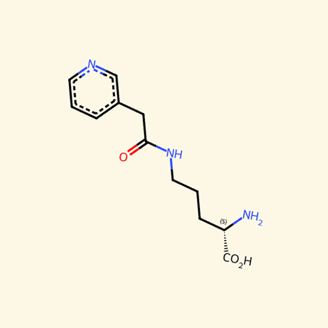 N[C@@H](CCCNC(=O)Cc1cccnc1)C(=O)O